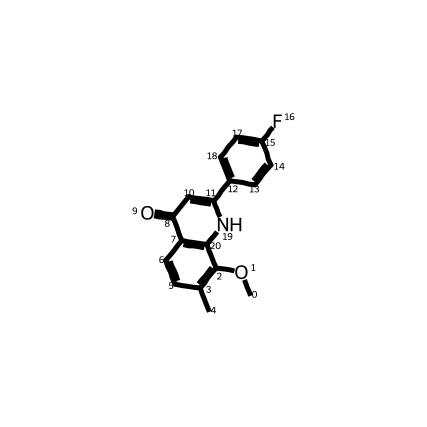 COc1c(C)ccc2c(=O)cc(-c3ccc(F)cc3)[nH]c12